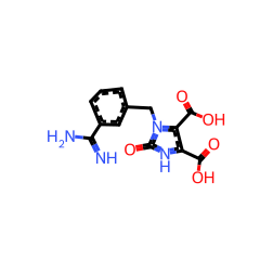 N=C(N)c1cccc(Cn2c(C(=O)O)c(C(=O)O)[nH]c2=O)c1